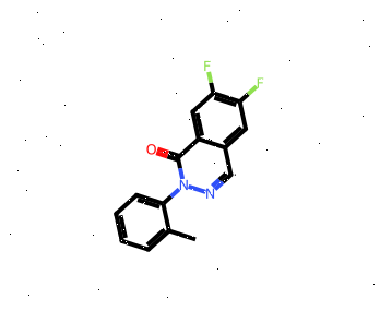 Cc1ccccc1-n1n[c]c2cc(F)c(F)cc2c1=O